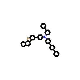 c1ccc(-c2ccc(-c3ccc(N(c4ccc(-c5ccc6sc7c8ccccc8ccc7c6c5)cc4)c4cccc(-c5ccccc5)c4)cc3)cc2)cc1